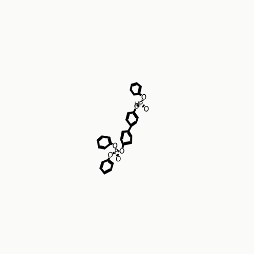 O=[PH](OC1=CC=CCC1)Oc1ccc(-c2ccc(OP(=O)(Oc3ccccc3)Oc3ccccc3)cc2)cc1